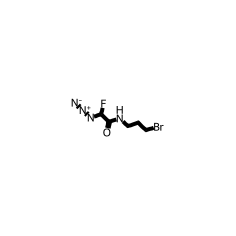 [N-]=[N+]=NC(F)C(=O)NCCCBr